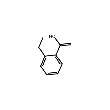 C=C(O)c1ccccc1CC